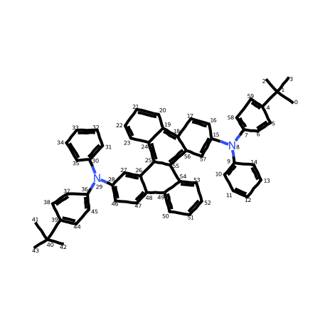 CC(C)(C)c1ccc(N(c2ccccc2)c2ccc3c4ccccc4c4c5cc(N(c6ccccc6)c6ccc(C(C)(C)C)cc6)ccc5c5ccccc5c4c3c2)cc1